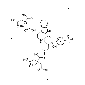 CN(C)CC1CC2(CCC1(O)c1ccc(C(F)(F)F)cc1)NCCc1c2[nH]c2ccccc12.O=C(O)CC(O)(CC(=O)O)C(=O)O.O=C(O)CC(O)(CC(=O)O)C(=O)O